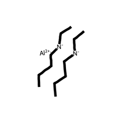 CCCC[N-]CC.CCCC[N-]CC.[Al+2]